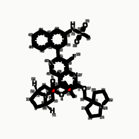 CC(C)(C)OC(=O)N1[C@@H]2CC[C@H]1CN(c1nc(OCC34CCCN3CCC4)nc3c(F)c(-c4cc(NS(C)(=O)=O)cc5ccccc45)ncc13)C2